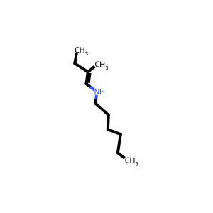 CCCCCCN/C=C(\C)CC